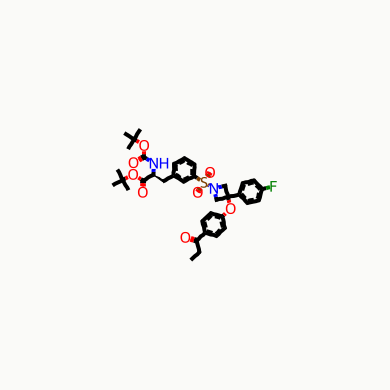 CCC(=O)c1ccc(OC2(c3ccc(F)cc3)CN(S(=O)(=O)c3cccc(C[C@H](NC(=O)OC(C)(C)C)C(=O)OC(C)(C)C)c3)C2)cc1